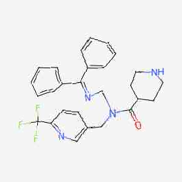 O=C(C1CCNCC1)N(CN=C(c1ccccc1)c1ccccc1)Cc1ccc(C(F)(F)F)nc1